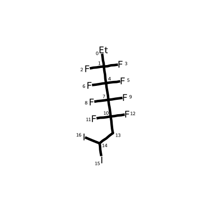 CCC(F)(F)C(F)(F)C(F)(F)C(F)(F)CC(I)I